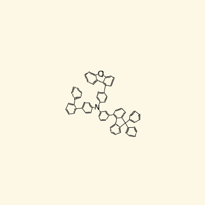 c1ccc(-c2ccccc2-c2ccc(N(c3ccc(-c4cccc5oc6ccccc6c45)cc3)c3cccc(-c4cccc5c4-c4ccccc4C5(c4ccccc4)c4ccccc4)c3)cc2)cc1